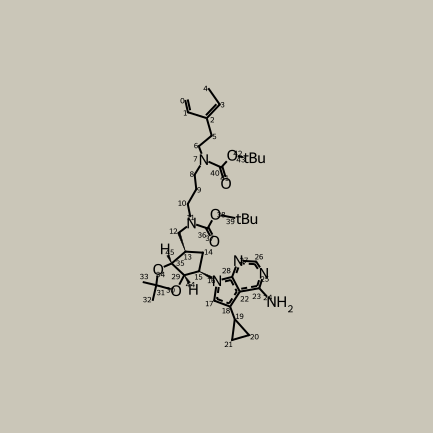 C=C/C(=C\C)CCN(CCCN(C[C@H]1C[C@@H](n2cc(C3CC3)c3c(N)ncnc32)[C@@H]2OC(C)(C)O[C@H]12)C(=O)OC(C)(C)C)C(=O)OC(C)(C)C